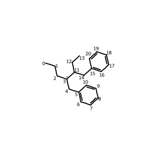 CCC[C](Cc1ccccc1)C(CC)Cc1ccccc1